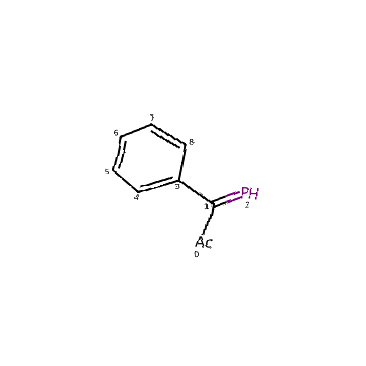 CC(=O)C(=P)c1ccccc1